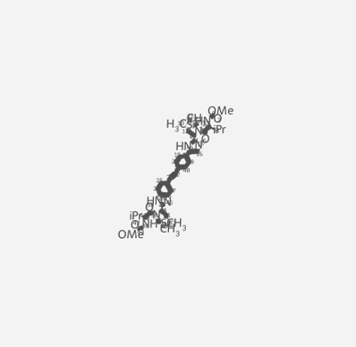 COC(=O)N[C@H](C(=O)N1C[Si](C)(C)C[C@H]1c1ncc(-c2ccc(C#Cc3ccc4[nH]c([C@@H]5C[Si](C)(C)CN5C(=O)[C@@H](NC(=O)OC)C(C)C)nc4c3)cc2)[nH]1)C(C)C